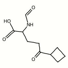 O=CNC(CCC(=O)C1CCC1)C(=O)O